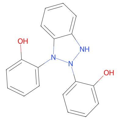 Oc1ccccc1N1Nc2ccccc2N1c1ccccc1O